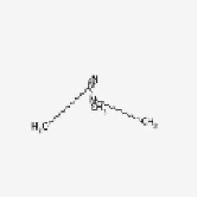 CCCCCCCCCCCCCCCCCC(CCN(CC)CCCCCCCCCCCCCCCCC)N1C=NCC1